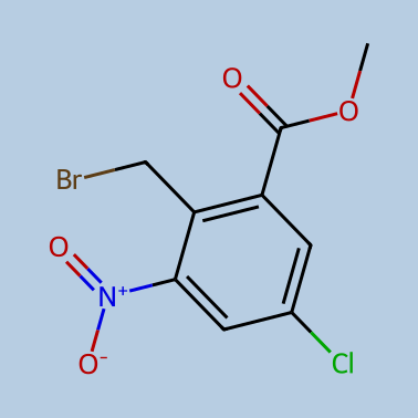 COC(=O)c1cc(Cl)cc([N+](=O)[O-])c1CBr